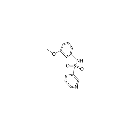 COc1cccc(NS(=O)(=O)c2cccnc2)c1